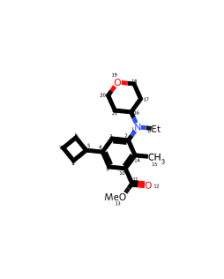 CCN(c1cc(C2CCC2)cc(C(=O)OC)c1C)C1CCOCC1